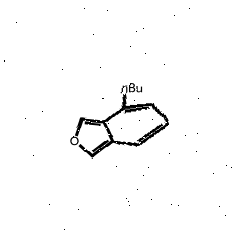 CCCCc1cccc2[c]occ12